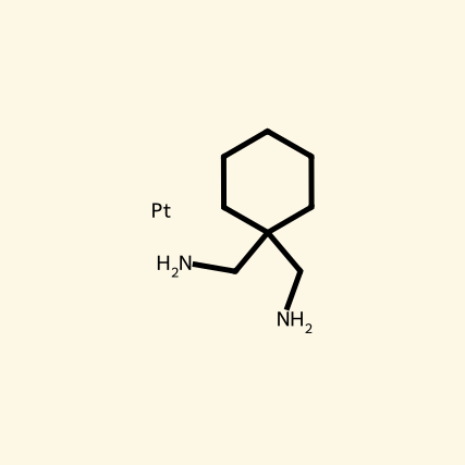 NCC1(CN)CCCCC1.[Pt]